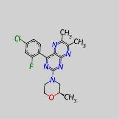 Cc1nc2nc(N3CCO[C@H](C)C3)nc(-c3ccc(Cl)cc3F)c2nc1C